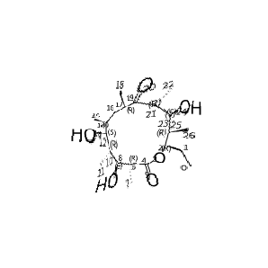 CC[C@H]1OC(=O)[C@H](C)[C@@H](O)[C@H](C)[C@@H](O)[C@@H](C)C[C@@H](C)C(=O)[C@H](C)[C@@H](O)[C@H]1C